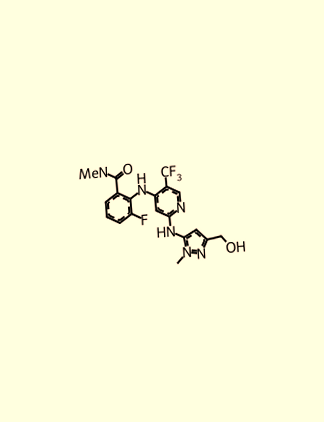 CNC(=O)c1cccc(F)c1Nc1cc(Nc2cc(CO)nn2C)ncc1C(F)(F)F